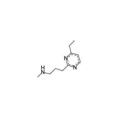 CCc1ccnc(CCCNC)n1